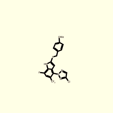 COc1ccc(CSc2cc3c(-n4ncc(Cl)n4)c(C(F)(F)F)cc(F)c3[nH]2)cc1